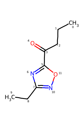 CC[CH]C(=O)c1nc(CC)no1